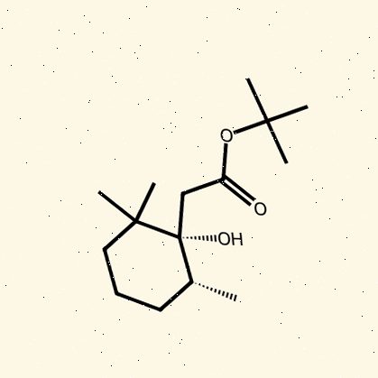 C[C@@H]1CCCC(C)(C)[C@@]1(O)CC(=O)OC(C)(C)C